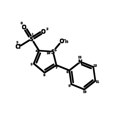 O=S(=O)(Cl)c1ccc(-c2ccccn2)[s+]1[O-]